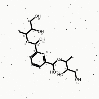 CC(OC(O)c1cccc(C(O)OC(C)C(O)CO)n1)C(O)CO